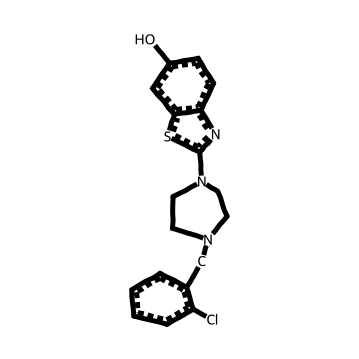 Oc1ccc2nc(N3CCN(Cc4ccccc4Cl)CC3)sc2c1